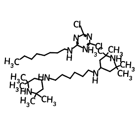 CC1(C)CC(NCCCCCCNC2CC(C)(C)NC(C)(C)C2)CC(C)(C)N1.CCCCCCCCNc1nc(Cl)nc(Cl)n1